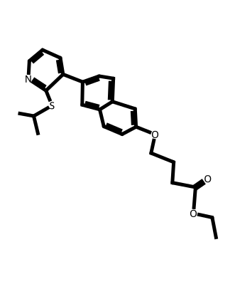 CCOC(=O)CCCOc1ccc2cc(-c3cccnc3SC(C)C)ccc2c1